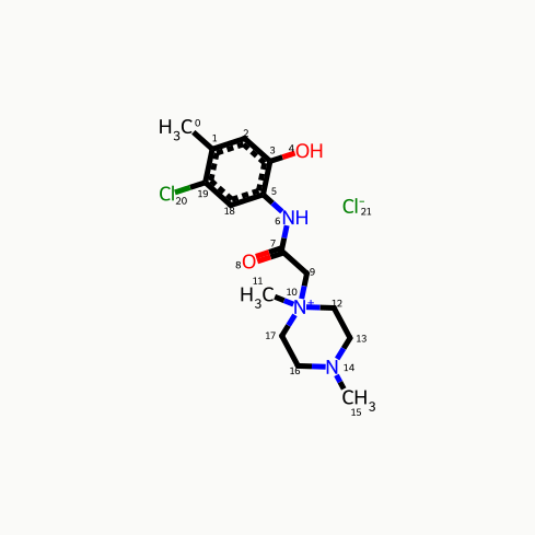 Cc1cc(O)c(NC(=O)C[N+]2(C)CCN(C)CC2)cc1Cl.[Cl-]